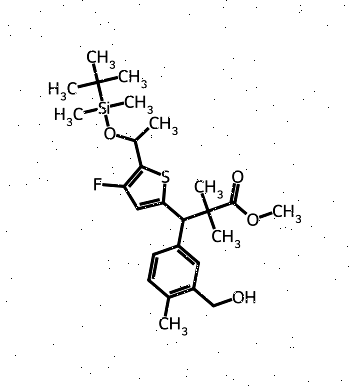 COC(=O)C(C)(C)C(c1ccc(C)c(CO)c1)c1cc(F)c(C(C)O[Si](C)(C)C(C)(C)C)s1